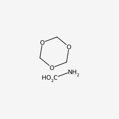 C1OCOCO1.NC(=O)O